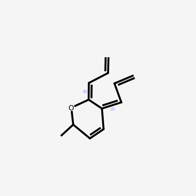 C=C/C=C1/C=CC(C)O/C1=C/C=C